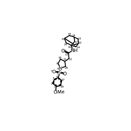 COc1ccc(S(=O)(=O)N2CCC(CC(=O)NC34CC5CC(CC(C5)C3)C4)C2)cc1